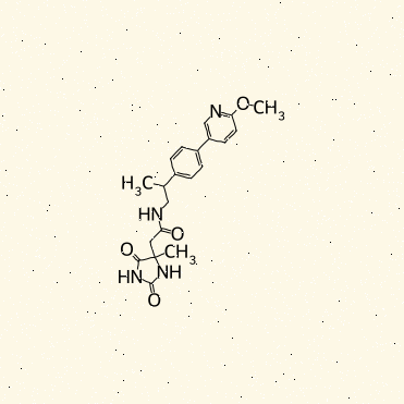 COc1ccc(-c2ccc(C(C)CNC(=O)CC3(C)NC(=O)NC3=O)cc2)cn1